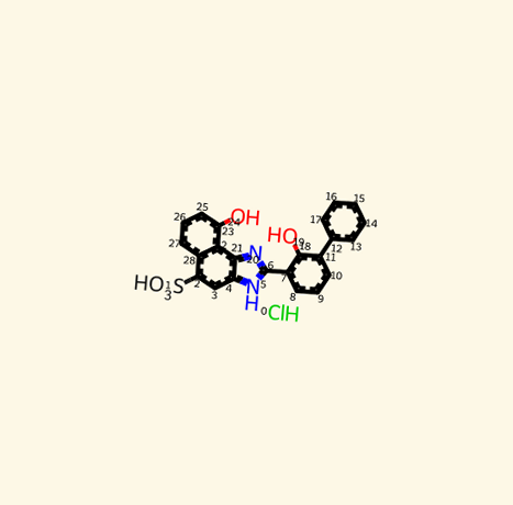 Cl.O=S(=O)(O)c1cc2[nH]c(-c3cccc(-c4ccccc4)c3O)nc2c2c(O)cccc12